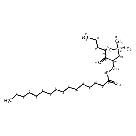 CCCCCCCCCCCCCCCC(=O)[P-]OC(C[N+](C)(C)C)C(=O)CCCC